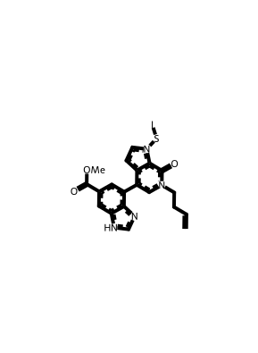 C=CCCn1cc(-c2cc(C(=O)OC)cc3[nH]cnc23)c2ccn(SI)c2c1=O